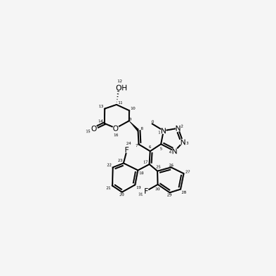 Cn1nnnc1C(/C=C/[C@@H]1C[C@@H](O)CC(=O)O1)=C(c1ccccc1F)c1ccccc1F